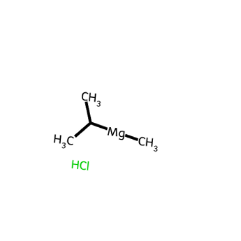 Cl.[CH3][Mg][CH](C)C